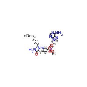 CCCCCCCCCCCCCCCCN[C@@H](Cc1ccc(OP(=O)(COCCn2cnc3c(N)ncnc32)OCC)cc1)C(N)=O